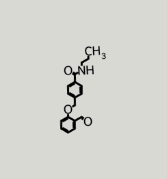 CCCNC(=O)c1ccc(COc2ccccc2C=O)cc1